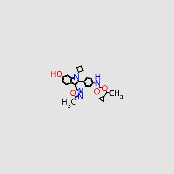 Cc1nnc(-c2c(-c3ccc(NC(=O)OC(C)C4CC4)cc3)n(C3CCC3)c3cc(O)ccc23)o1